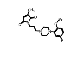 CC1=CC(=O)N(CCCN2CCN(c3cc(F)ccc3OC(C)C)CC2)C1=O